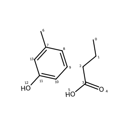 CCCC(=O)O.Cc1cccc(O)c1